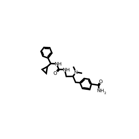 CN(C)C(CNC(=O)NC(c1ccccc1)C1CC1)Cc1ccc(C(N)=O)cc1